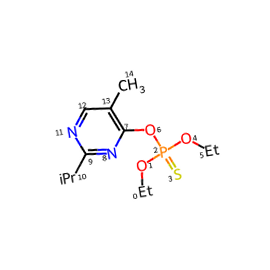 CCOP(=S)(OCC)Oc1nc(C(C)C)ncc1C